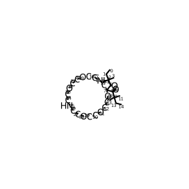 CCC(C)(C)C(=O)C1(C(=O)C(C)(C)CC)CNCCOCCOCCNCCOCCOCCO1